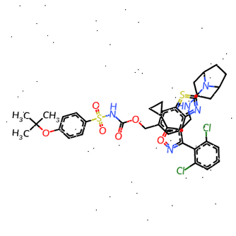 CC(C)(C)Oc1ccc(S(=O)(=O)NC(=O)OCc2ccc3nc(N4C5CCC4CC(NCc4c(-c6c(Cl)cccc6Cl)noc4C4CC4)C5)sc3c2)cc1